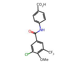 COc1c(Cl)cc(C(=O)Nc2ccc(C(=O)O)cc2)cc1C(F)(F)F